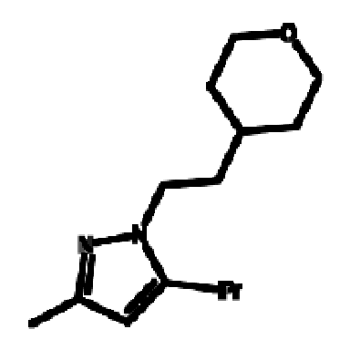 Cc1cc(C(C)C)n(CCC2CCOCC2)n1